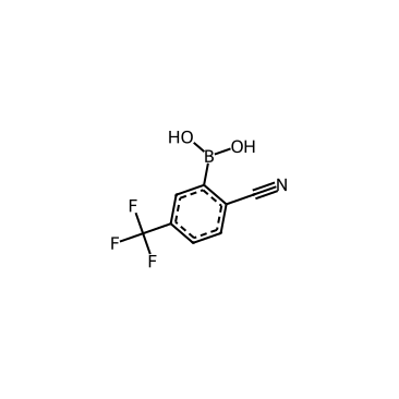 N#Cc1ccc(C(F)(F)F)cc1B(O)O